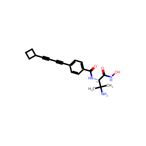 CC(C)(N)[C@H](NC(=O)c1ccc(C#CC#CC2CCC2)cc1)C(=O)NO